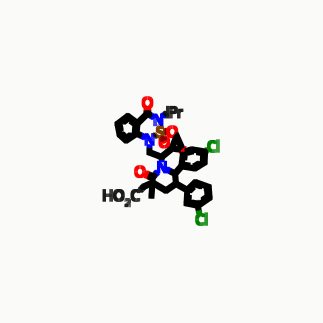 CC(C)N1C(=O)c2ccccc2N(CC(C2CC2)N2C(=O)C(C)(CC(=O)O)CC(c3cccc(Cl)c3)C2c2ccc(Cl)cc2)S1(=O)=O